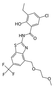 CCc1cc(Cl)cc(C(=O)Nc2nc3c(COCCOC)cc(C(F)(F)F)cc3s2)c1O